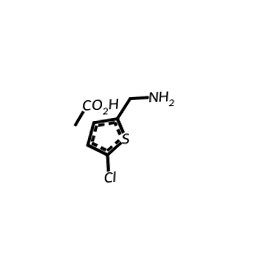 CC(=O)O.NCc1ccc(Cl)s1